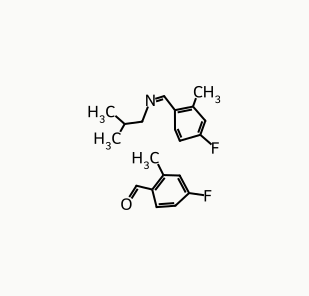 Cc1cc(F)ccc1/C=N\CC(C)C.Cc1cc(F)ccc1C=O